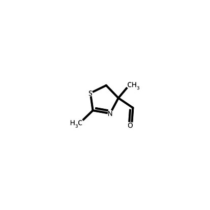 CC1=NC(C)(C=O)CS1